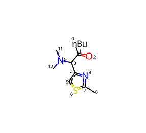 CCCCC(=O)C(c1csc(C)n1)N(C)C